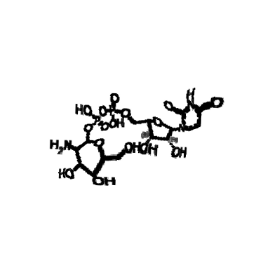 NC1C(OP(=O)(O)OP(=O)(O)OCC2OC(n3ccc(=O)[nH]c3=O)[C@H](O)[C@@H]2O)OC(CO)C(O)C1O